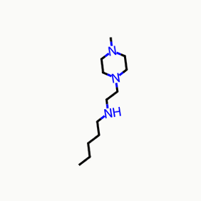 CCCCCNCCN1CCN(C)CC1